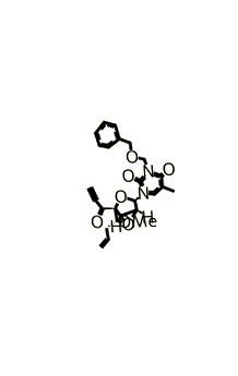 C#CC(=O)[C@]12O[C@@H](n3cc(C)c(=O)n(COCc4ccccc4)c3=O)[C@H](O[C@@H]1CC=C)[C@@H]2OC